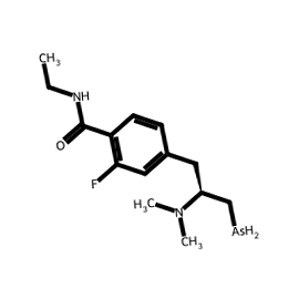 CCNC(=O)c1ccc(C[C@@H](C[AsH2])N(C)C)cc1F